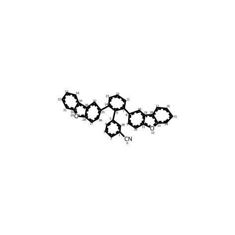 N#Cc1cccc(-c2c(-c3ccc4oc5ccccc5c4c3)cccc2-c2ccc3oc4ccccc4c3c2)c1